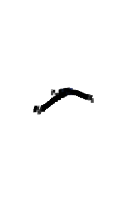 CCCCCCCCCCCCCCCCCCc1n(CCCCCCCCCCCCCC)cc[n+]1C